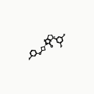 O=c1n2c(nn1[C@H]1C[C@H](Oc3cccc(F)c3)C1)CC[C@H]2c1cc(F)cc(F)c1